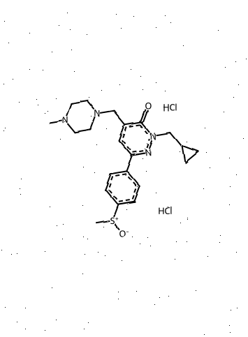 CN1CCN(Cc2cc(-c3ccc([S+](C)[O-])cc3)nn(CC3CC3)c2=O)CC1.Cl.Cl